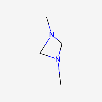 CN1CN(C)C1